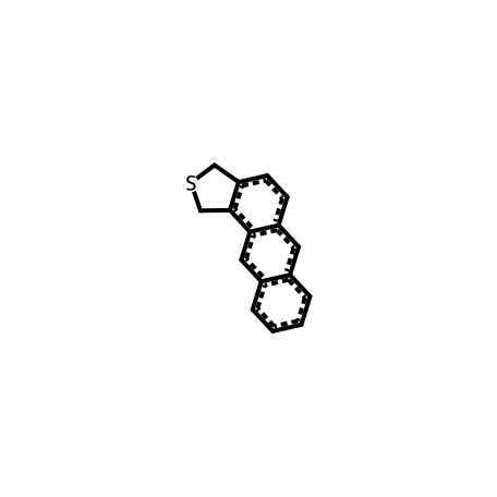 c1ccc2cc3c4c(ccc3cc2c1)CSC4